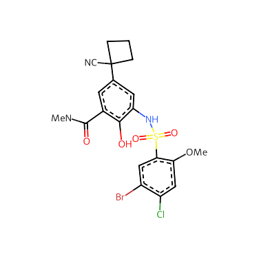 CNC(=O)c1cc(C2(C#N)CCC2)cc(NS(=O)(=O)c2cc(Br)c(Cl)cc2OC)c1O